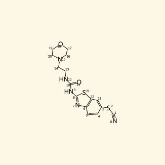 N#CSc1ccc2nc(NC(=O)NCCN3CCOCC3)sc2c1